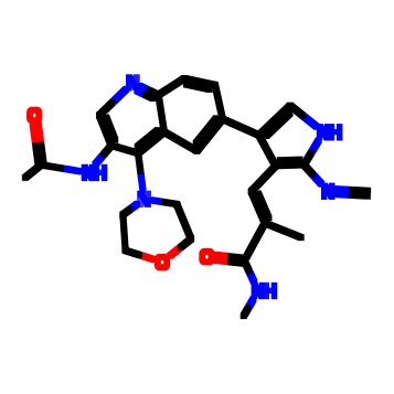 C=Nc1[nH]cc(-c2ccc3ncc(NC(C)=O)c(N4CCOCC4)c3c2)c1/C=C(\C)C(=O)NC